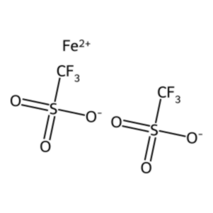 O=S(=O)([O-])C(F)(F)F.O=S(=O)([O-])C(F)(F)F.[Fe+2]